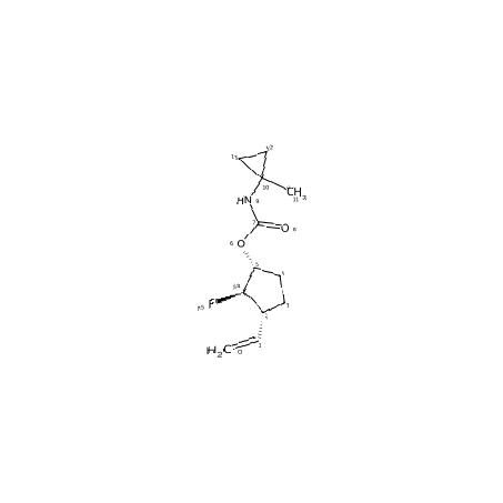 C=C[C@H]1CC[C@@H](OC(=O)NC2(C)CC2)[C@@H]1F